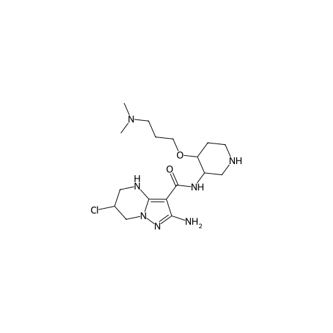 CN(C)CCCOC1CCNCC1NC(=O)c1c(N)nn2c1NCC(Cl)C2